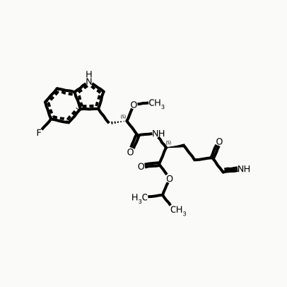 CO[C@@H](Cc1c[nH]c2ccc(F)cc12)C(=O)N[C@@H](CCC(=O)C=N)C(=O)OC(C)C